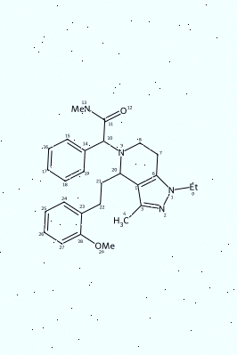 CCn1nc(C)c2c1CCN(C(C(=O)NC)c1ccccc1)C2CCc1ccccc1OC